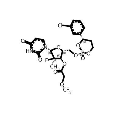 C[C@@]1(F)[C@H](OC(=O)COC(F)(F)F)[C@@H](CO[P@@]2(=O)OCC[C@@H](c3cccc(Cl)c3)O2)O[C@H]1n1ccc(=O)[nH]c1=O